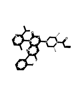 C=CC(=O)N1[C@H](C)CN(c2nc(=O)n(-c3c(C)ccnc3C(C)C)c3nc(-c4ccccc4F)c(F)cc23)C[C@@H]1C